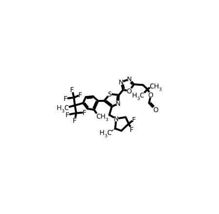 Cc1cc(C(C)(C(F)(F)F)C(F)(F)F)ccc1-c1sc(-c2nnc(CC(C)(C)OC=O)o2)nc1CN1CC(F)(F)C[C@@H]1C